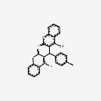 C=C1Oc2ccccc2C(O)=C1C(c1ccc(I)cc1)c1c(O)c2ccccc2oc1=O